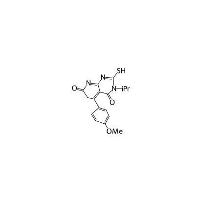 COc1ccc(C2=c3c(nc(S)n(C(C)C)c3=O)=NC(=O)C2)cc1